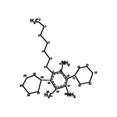 CCCCCCCc1c(N)c(C2CCCCC2)c(N)c(C)c1C1CCCCC1